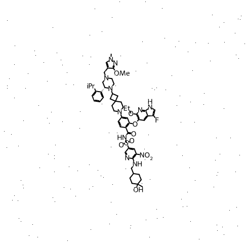 CCOc1nc2[nH]cc(F)c2cc1Oc1cc(N2CCC3(CC2)CC(N2CCN(Cc4cn(C)nc4OC)C[C@H]2c2ccccc2C(C)C)C3)ccc1C(=O)NS(=O)(=O)c1cnc(NCC2CCC(C)(O)CC2)c([N+](=O)[O-])c1